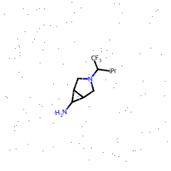 CC(C)C(N1CC2C(N)C2C1)C(F)(F)F